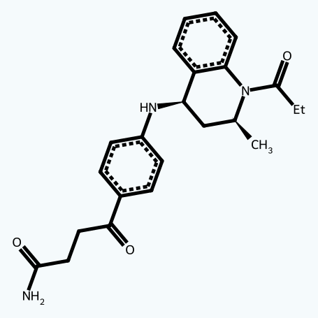 CCC(=O)N1c2ccccc2[C@H](Nc2ccc(C(=O)CCC(N)=O)cc2)C[C@@H]1C